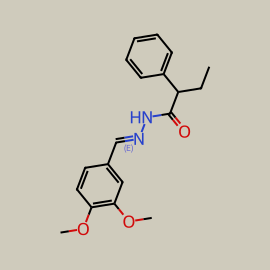 CCC(C(=O)N/N=C/c1ccc(OC)c(OC)c1)c1ccccc1